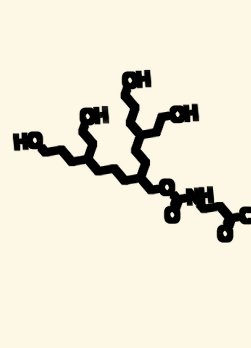 CC(=O)CCNC(=O)OCC(CCCC(CCO)CCCO)CCC(CCO)CCCO